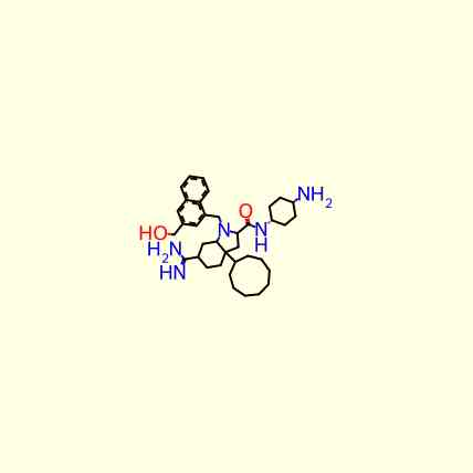 N=C(N)C1CCC2(C3CCCCCCCC3)CC(C(=O)N[C@H]3CC[C@H](N)CC3)N(Cc3cc(CO)cc4ccccc34)C2C1